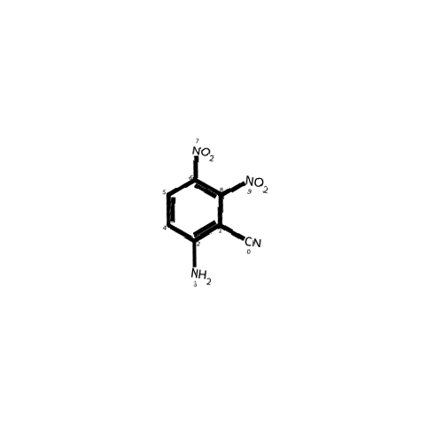 N#Cc1c(N)ccc([N+](=O)[O-])c1[N+](=O)[O-]